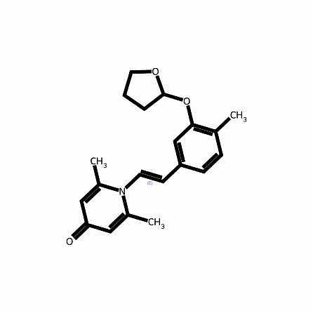 Cc1ccc(/C=C/n2c(C)cc(=O)cc2C)cc1OC1CCCO1